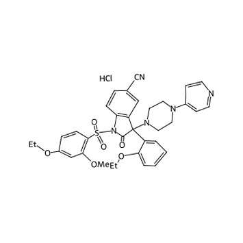 CCOc1ccc(S(=O)(=O)N2C(=O)C(c3ccccc3OCC)(N3CCN(c4ccncc4)CC3)c3cc(C#N)ccc32)c(OC)c1.Cl